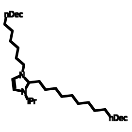 CCCCCCCCCCCCCCCCCCCC1N(CCCCCCCCCCCCCCCC)C=CN1C(C)C